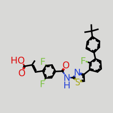 CC(=Cc1c(F)cc(C(=O)Nc2nc(-c3cccc(-c4ccc(C(C)(C)C)cc4)c3F)cs2)cc1F)C(=O)O